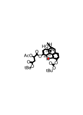 CC(=O)OC(CC(=O)OC(C)(C)C)C(=O)OC1=CC[C@@]2(O)[C@H]3Cc4ccc(OC(=O)OC(C)(C)C)c5c4[C@@]2(CCN3C)[C@H]1O5